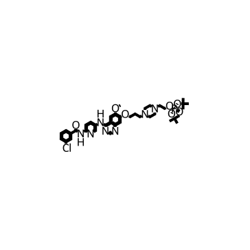 COc1cc2c(Nc3ccc(NC(=O)c4cccc(Cl)c4)nc3)ncnc2cc1OCCCN1CCN(CCOP(=O)(OC(C)(C)C)OC(C)(C)C)CC1